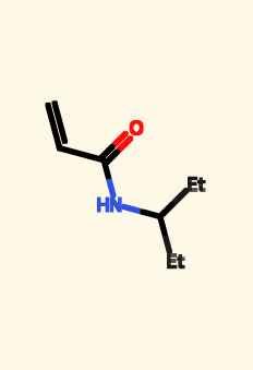 C=CC(=O)NC(CC)CC